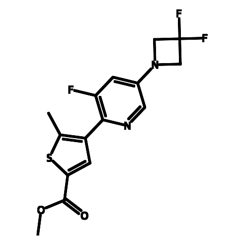 COC(=O)c1cc(-c2ncc(N3CC(F)(F)C3)cc2F)c(C)s1